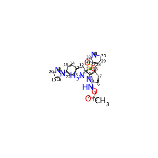 CC(=O)ONc1cccc(C(N)(Cc2ccc(-n3cccn3)cc2)S(=O)(=O)c2cccnc2)n1